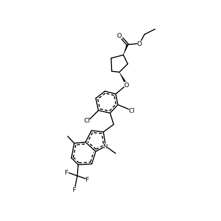 CCOC(=O)[C@@H]1CC[C@H](Oc2ccc(Cl)c(Cc3cc4c(C)cc(C(F)(F)F)cc4n3C)c2Cl)C1